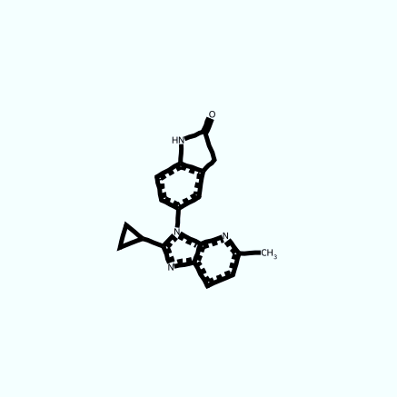 Cc1ccc2nc(C3CC3)n(-c3ccc4c(c3)CC(=O)N4)c2n1